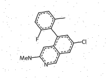 CNc1cc2c(-c3c(C)cccc3F)cc(Cl)cc2cn1